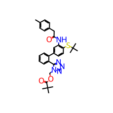 Cc1ccc(CC(=O)Nc2cc(-c3ccccc3-c3nnnn3COC(=O)C(C)(C)C)ccc2SC(C)(C)C)cc1